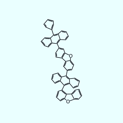 c1ccc(-c2c3ccccc3c(-c3ccc4c(c3)oc3ccc(-c5c6ccccc6c(-c6cccc7oc8ccccc8c67)c6ccccc56)cc34)c3ccccc23)cc1